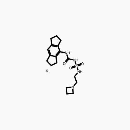 O=C(Nc1c2c(cc3c1CCC3)CCC2)NS(=O)(=O)NCCN1CCC1.[K]